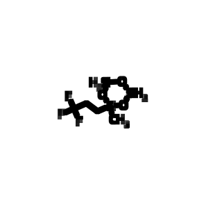 C[Si]1(CCC(F)(F)F)O[SiH2]O[SiH2]O1